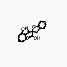 O=C(O)C(O)(Cc1ccccc1)c1noc2ccccc12